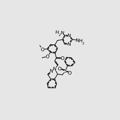 COc1cc(Cc2cnc(N)nc2N)cc(C(=O)/C=C/N2N=Cc3ccccc3C2CS(=O)(=O)c2ccccc2)c1OC